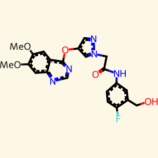 COc1cc2ncnc(Oc3cnn(CC(=O)Nc4ccc(F)c(CO)c4)c3)c2cc1OC